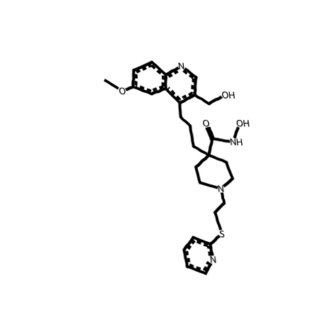 COc1ccc2ncc(CO)c(CCCC3(C(=O)NO)CCN(CCSc4ccccn4)CC3)c2c1